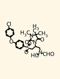 CN1C(=O)N(C(CN(O)C=O)CS(=O)(=O)c2ccc(Oc3ccc(Cl)cc3)cc2)C(=O)C1(C)C